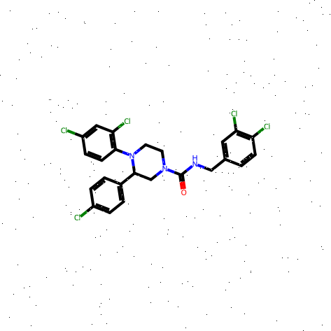 O=C(NCc1ccc(Cl)c(Cl)c1)N1CCN(c2ccc(Cl)cc2Cl)C(c2ccc(Cl)cc2)C1